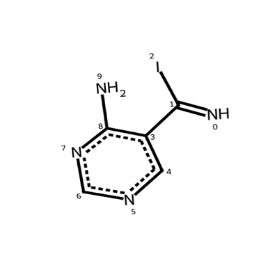 N=C(I)c1cncnc1N